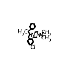 CC(c1ccccc1)C(Cc1ccc(Cl)cc1)N1CCN(N(C)C)CC1